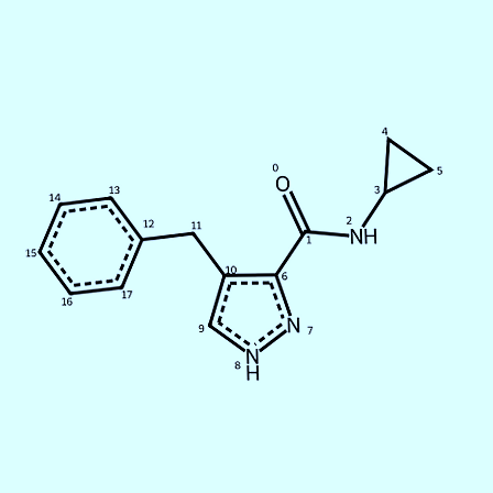 O=C(NC1CC1)c1n[nH]cc1Cc1ccccc1